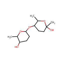 CC1OC(OC2CCC(C)(O)OC2C)CCC1O